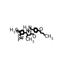 CCCCC(=O)c1ccc(C(N)N2N=C(c3ccc(OC)c(OC(F)F)c3)C(CC)CC2C=O)cc1